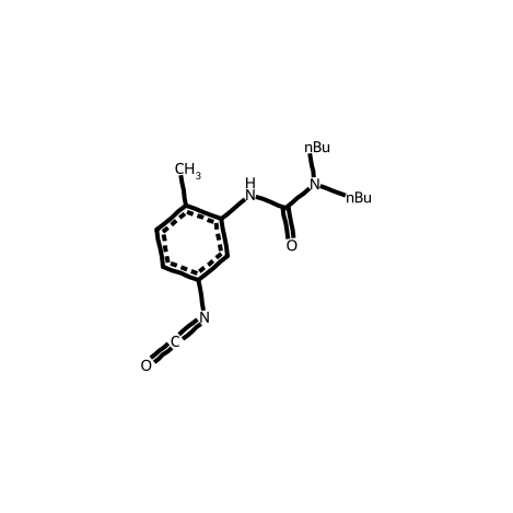 CCCCN(CCCC)C(=O)Nc1cc(N=C=O)ccc1C